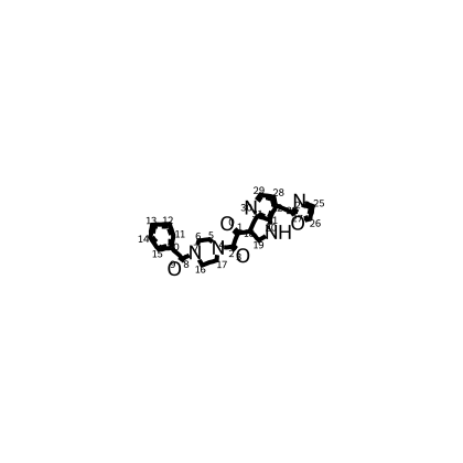 O=C(C(=O)N1CCN(C(=O)c2ccccc2)CC1)C1CNc2c(-c3ncco3)ccnc21